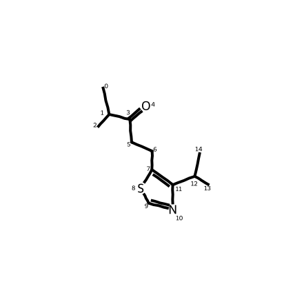 CC(C)C(=O)CCc1scnc1C(C)C